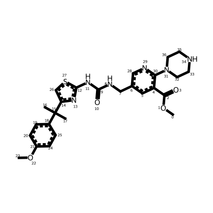 COC(=O)c1cc(CNC(=O)Nc2nc(C(C)(C)c3ccc(OC)cc3)cs2)cnc1N1CCNCC1